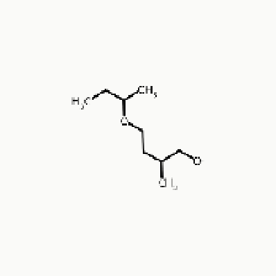 CCC(C)OCCC(C)C[O]